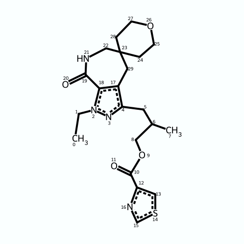 CCn1nc(CC(C)COC(=O)c2cscn2)c2c1C(=O)NCC1(CCOCC1)C2